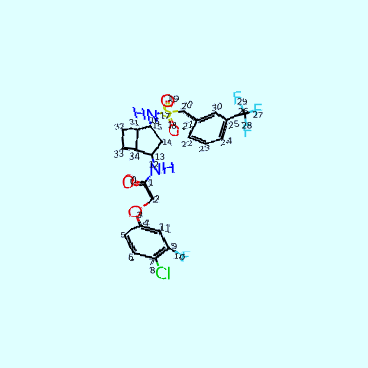 O=C(COc1ccc(Cl)c(F)c1)NC1C[C@H](NS(=O)(=O)Cc2cccc(C(F)(F)F)c2)C2CCC12